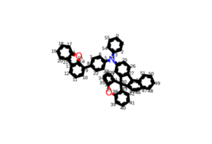 c1ccc(N(c2ccc(-c3cccc4c3oc3ccccc34)cc2)c2ccc3c(c2)C2(c4ccccc4Oc4ccccc42)c2ccc4ccccc4c2-3)cc1